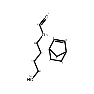 C1=CC2CCC1C2.O=COCCCCO